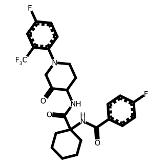 O=C(NC1(C(=O)NC2CCN(c3ccc(F)cc3C(F)(F)F)CC2=O)CCCCC1)c1ccc(F)cc1